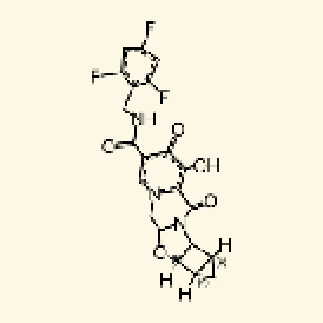 O=C(NCc1c(F)cc(F)cc1F)c1cn2c(c(O)c1=O)C(=O)N1C(C2)O[C@H]2C1[C@@H]1C[C@@H]12